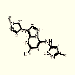 Cc1cc(Nc2cc(Cl)nc3c(C4C=NN(C)C4)cnn23)sn1